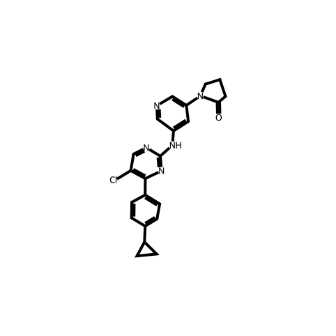 O=C1CCCN1c1cncc(Nc2ncc(Cl)c(-c3ccc(C4CC4)cc3)n2)c1